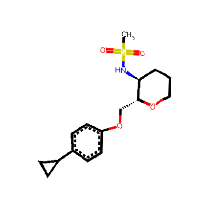 CS(=O)(=O)N[C@H]1CCCO[C@@H]1COc1ccc(C2CC2)cc1